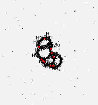 CCCCN1OCC#Cc2cn(c(=O)[nH]c2=O)[C@@H]2C[C@H](O)[C@H](COP(=O)(O)O[C@H]3C[C@@H]4O[C@H]3COP(=O)(O)O[C@H]3C[C@@H]5O[C@H]3COP(=O)(O)O[C@H]3C[C@@H]6O[C@H]3COCCCCCCCCCCCCCCCCCC(CC(CC(CCC1=O)C(=O)N(Cc1ccccc1)OCC#Cc1cn4c(=O)[nH]c1=O)C(=O)N(CCN(C)C)OCC#Cc1cn5c3ncnc(N)c13)C(=O)N(CC(=O)O)OCC#Cc1cn6c3nc(N)[nH]c(=O)c13)O2